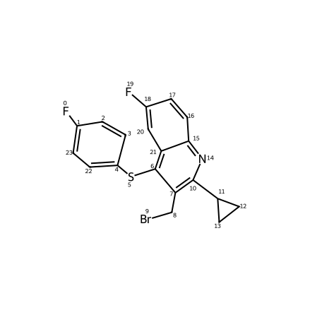 Fc1ccc(Sc2c(CBr)c(C3CC3)nc3ccc(F)cc23)cc1